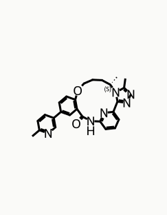 Cc1ccc(-c2ccc3c(c2)C(=O)Nc2cccc(n2)-c2nnc(C)n2[C@@H](C)CCCO3)cn1